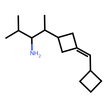 CC(C)C(N)C(C)C1CC(=CC2CCC2)C1